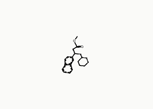 COC(=O)CC(CC1CCCCC1)c1ccc2ccccc2c1